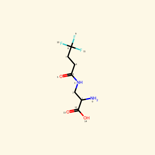 NC(CNC(=O)CCC(F)(F)F)C(=O)O